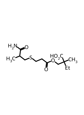 CCC(C)(COC(=O)CCSCC(C)C(N)=O)C(=O)O